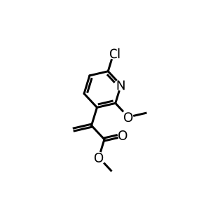 C=C(C(=O)OC)c1ccc(Cl)nc1OC